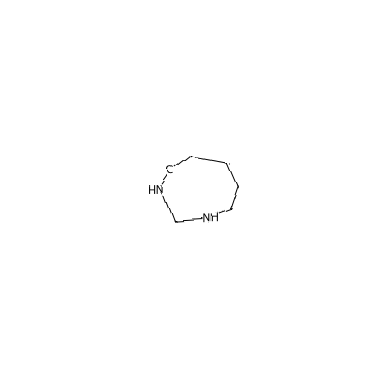 [CH]1CCNCNCC1